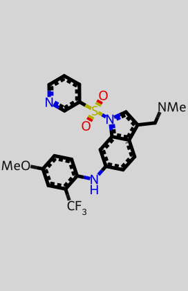 CNCc1cn(S(=O)(=O)c2cccnc2)c2cc(Nc3ccc(OC)cc3C(F)(F)F)ccc12